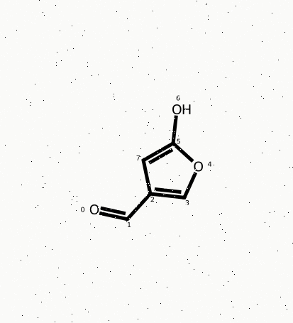 O=Cc1coc(O)c1